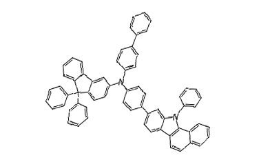 c1ccc(-c2ccc(N(c3ccc(-c4ccc5c6ccc7ccccc7c6n(-c6ccccc6)c5c4)cc3)c3ccc4c(c3)-c3ccccc3C4(c3ccccc3)c3ccccc3)cc2)cc1